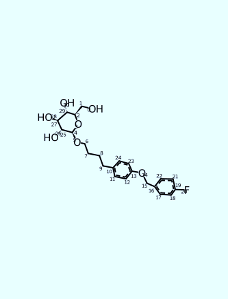 OC[C@H]1O[C@@H](OCCCCc2ccc(OCc3ccc(F)cc3)cc2)[C@H](O)[C@@H](O)[C@@H]1O